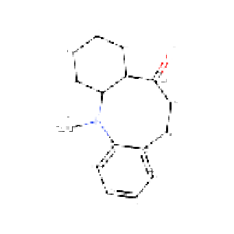 CC(C)(C)N1c2ccccc2CCC(=O)C2CCCCC21